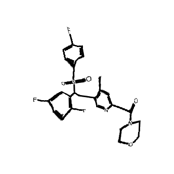 Cc1cc(C(=O)N2CCOCC2)ncc1C(c1cc(F)ccc1F)S(=O)(=O)c1ccc(F)cc1